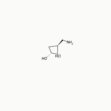 Cl.NC[C@H]1C[C@H](O)C1